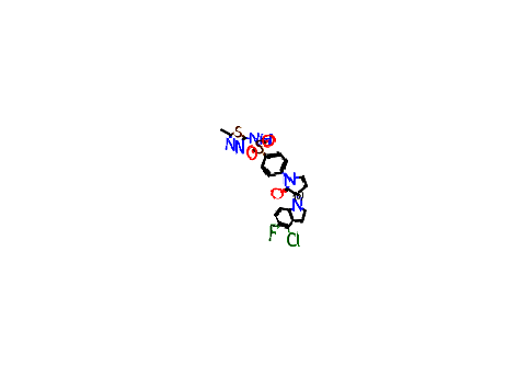 Cc1nnc(NS(=O)(=O)c2ccc(N3CC[C@H](N4CCc5c4ccc(F)c5Cl)C3=O)cc2)s1